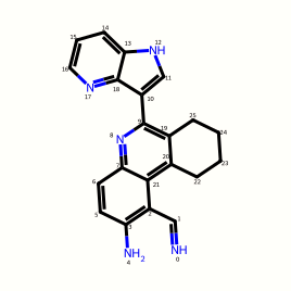 N=Cc1c(N)ccc2nc(-c3c[nH]c4cccnc34)c3c(c12)CCCC3